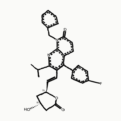 CC(C)c1nc2c(ccc(=O)n2Cc2ccccc2)c(-c2ccc(F)cc2)c1C=C[C@@H]1C[C@@H](O)CC(=O)O1